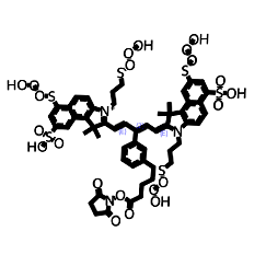 CC1(C)C(/C=C/C(=C/C=C2/N(CCCSOOO)c3ccc4c(S(=O)(=O)O)cc(SOOO)cc4c3C2(C)C)c2cccc(CCCCC(=O)ON3C(=O)CCC3=O)c2)=[N+](CCCSOOO)c2ccc3c(SOOO)cc(S(=O)(=O)O)cc3c21